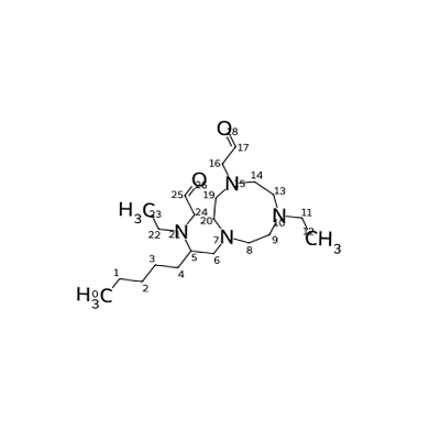 CCCCCC(CN1CCN(CC)CCN(CC=O)CC1)N(CC)CC=O